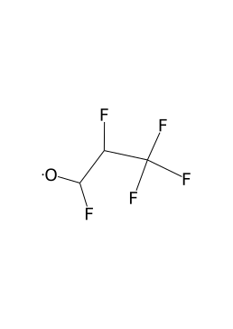 [O]C(F)C(F)C(F)(F)F